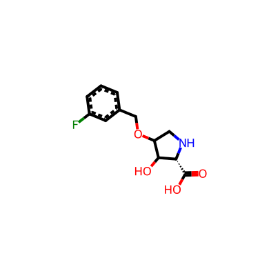 O=C(O)[C@H]1NCC(OCc2cccc(F)c2)C1O